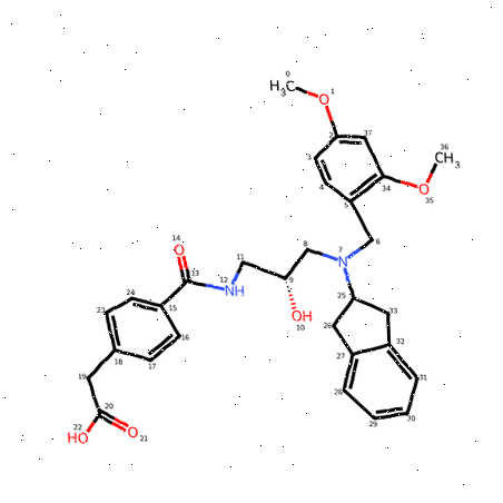 COc1ccc(CN(C[C@H](O)CNC(=O)c2ccc(CC(=O)O)cc2)C2Cc3ccccc3C2)c(OC)c1